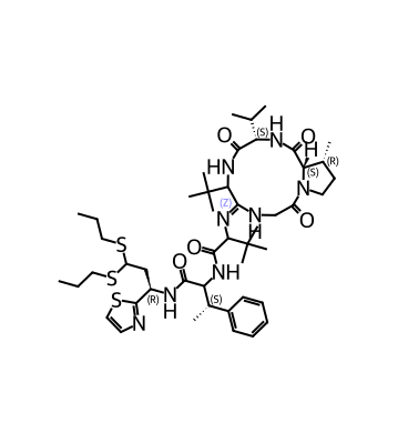 CCCSC(C[C@@H](NC(=O)C(NC(=O)C(/N=C1\NCC(=O)N2CC[C@@H](C)[C@H]2C(=O)N[C@@H](C(C)C)C(=O)NC1C(C)(C)C)C(C)(C)C)[C@@H](C)c1ccccc1)c1nccs1)SCCC